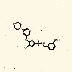 COc1cccc(CNS(=O)(=O)c2cc(Cl)c(Oc3cccc(N4CCNCC4)c3)s2)c1